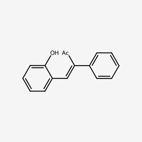 CC(=O)C(=Cc1ccccc1O)c1ccccc1